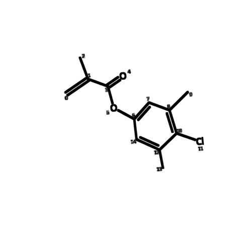 C=C(C)C(=O)Oc1cc(C)c(Cl)c(C)c1